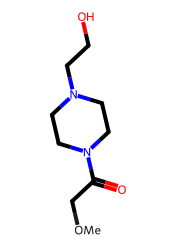 COCC(=O)N1CCN(CCO)CC1